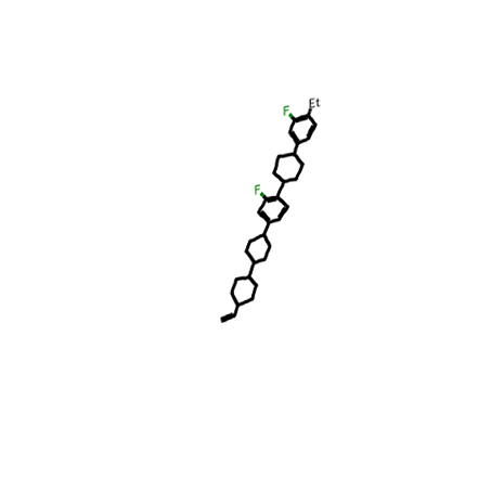 C=CC1CCC(C2CCC(c3ccc(C4CCC(c5ccc(CC)c(F)c5)CC4)c(F)c3)CC2)CC1